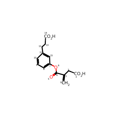 C=C(CC(=O)O)C(=O)Oc1cccc(CCC(=O)O)c1